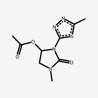 CC(=O)OC1CN(C)C(=O)N1c1nnc(C)s1